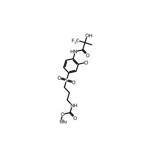 CC(C)(C)OC(=O)NCCCS(=O)(=O)c1ccc(NC(=O)C(C)(O)C(F)(F)F)c(Cl)c1